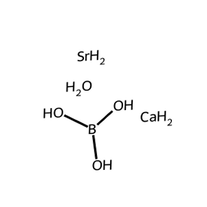 O.OB(O)O.[CaH2].[SrH2]